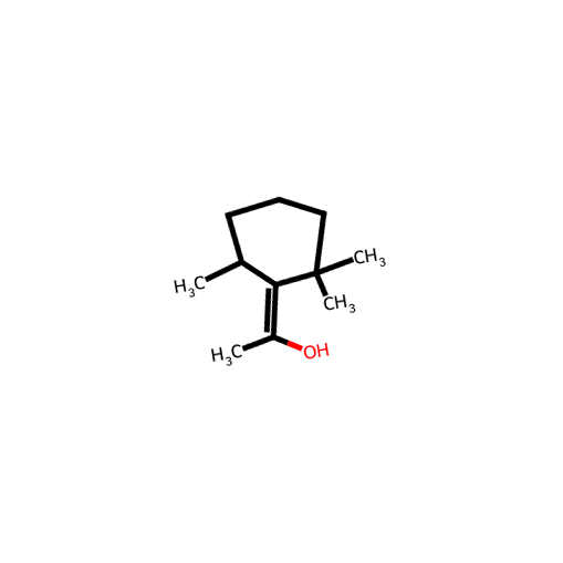 C/C(O)=C1\C(C)CCCC1(C)C